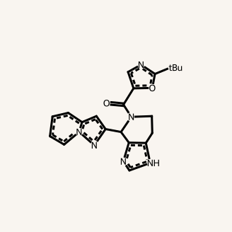 CC(C)(C)c1ncc(C(=O)N2CCc3[nH]cnc3C2c2cc3ccccn3n2)o1